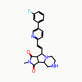 CN1C(=O)C2C(C1=O)C1CNCCN1C2C=Cc1ccc(-c2cccc(F)c2)cn1